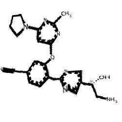 Cc1nc(Oc2cc(C#N)ccc2-c2ncc([C@H](O)CN)cn2)cc(N2CCCC2)n1